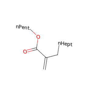 C=C(CCCCCCCC)C(=O)OCCCCC